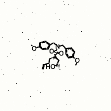 C=CCC[C@H](C[C@H](C)O)S(=O)(=O)N(Cc1ccc(OC)cc1)Cc1ccc(OC)cc1